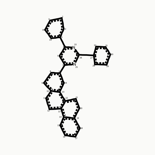 c1ccc(-c2cc(-c3ccc4ccc5c6ccccc6ccc5c4c3)nc(-c3ccccc3)n2)cc1